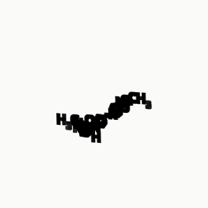 CCOc1nc2c(o1)CCN(CC[C@H]1CC[C@H](NC(=O)c3cccc4nn(C)cc34)CC1)CC2